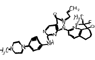 C=CCn1c(=O)c2cnc(Nc3ccc(N4CCN(C)CC4)cc3)nc2n1-c1ccc2c(n1)C(O)(C(C)(F)F)CC2